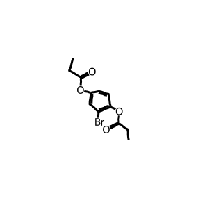 CCC(=O)Oc1ccc(OC(=O)CC)c(Br)c1